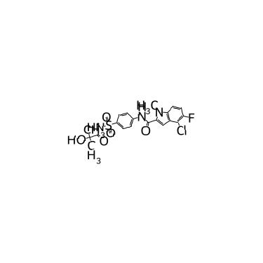 Cn1c(C(=O)Nc2ccc(S(=O)(=O)NC(=O)C(C)(C)O)cc2)cc2c(Cl)c(F)ccc21